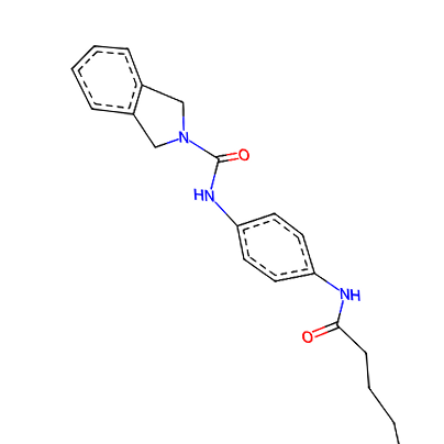 CCCCC(=O)Nc1ccc(NC(=O)N2Cc3ccccc3C2)cc1